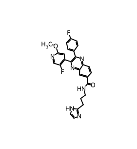 COc1cc(-c2nc3cc(C(=O)NCCCc4ncc[nH]4)ccc3nc2-c2ccc(F)cc2)c(F)cn1